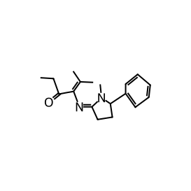 CCC(=O)C(/N=C1/CCC(c2ccccc2)N1C)=C(C)C